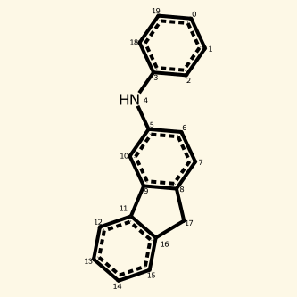 c1ccc(Nc2ccc3c(c2)-c2ccccc2C3)cc1